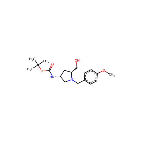 COc1ccc(CN2C[C@H](NC(=O)OC(C)(C)C)C[C@H]2CO)cc1